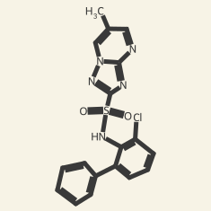 Cc1cnc2nc(S(=O)(=O)Nc3c(Cl)cccc3-c3ccccc3)nn2c1